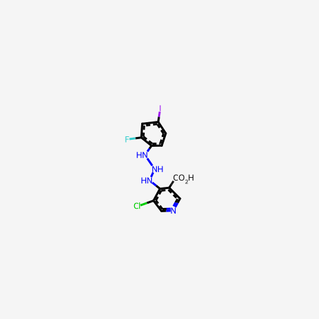 O=C(O)c1cncc(Cl)c1NNNc1ccc(I)cc1F